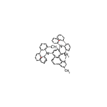 Cc1cc2ccc3c(N(c4ccccc4)c4c(C)cccc4-c4ccccc4)cc(N(c4ccccc4)c4c(C)cccc4-c4ccccc4)c4ccc(c1)c2c34